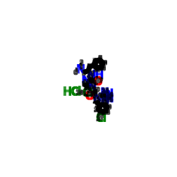 CN(C)CC(Cc1ccccc1)Nc1ncc(Cl)n(CC(=O)NCc2cc(Cl)ccc2-n2cnnn2)c1=O.Cl